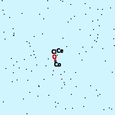 [C].[Ce].[O]=[Co]